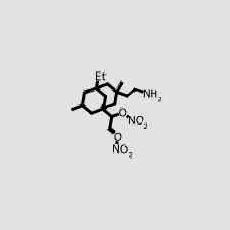 CCC12CC(C)CC(C(CO[N+](=O)[O-])O[N+](=O)[O-])(CC(C)(CCN)C1)C2